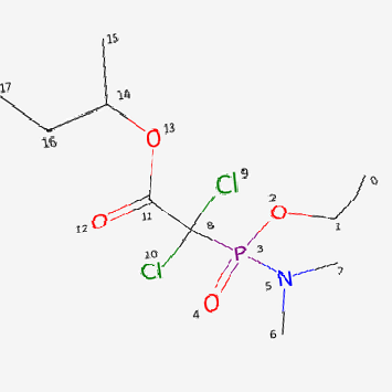 CCOP(=O)(N(C)C)C(Cl)(Cl)C(=O)OC(C)CC